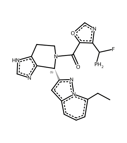 CCc1cccc2cc([C@@H]3c4nc[nH]c4CCN3C(=O)c3ocnc3C(F)P)nn12